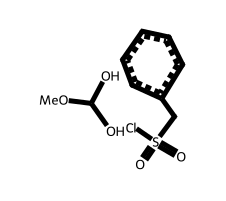 COC(O)O.O=S(=O)(Cl)Cc1ccccc1